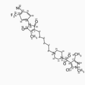 CC1=C(CCCCCCN2CCN(S(=O)(=O)c3c(C)nn(C)c3Cl)CC2)C(=O)N(c2ccc(C#N)c(C(F)(F)F)c2)C1=O